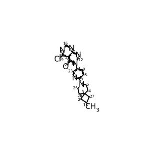 CC1CC2(CCN(c3ccc(-n4cnc5ncnc(Cl)c5c4=O)cn3)CC2)C1